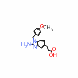 COc1ccc(Cn2c(N)nc3cc(CCC(=O)O)ccc32)cc1